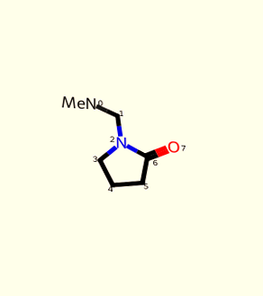 CNCN1CCCC1=O